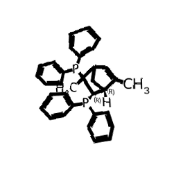 CC1=CC2C[C@H]1[C@@H](P(c1ccccc1)c1ccccc1)C2(C)P(c1ccccc1)c1ccccc1